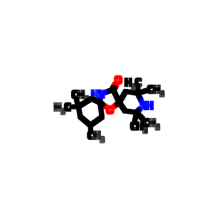 CC1CC(C)(C)CC2(C1)NC(=O)C1(CC(C)(C)NC(C)(C)C1)O2